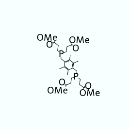 COC(=O)CCP(CCC(=O)OC)Cc1c(C)c(C)c(CP(CCC(=O)OC)CCC(=O)OC)c(C)c1C